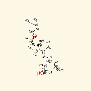 C=C1/C(=C\C=C2CCC[C@@]3(C)C2CC[C@@H]3[C@H](C)OCCC(C)C)C[C@@H](O)C[C@H]1O